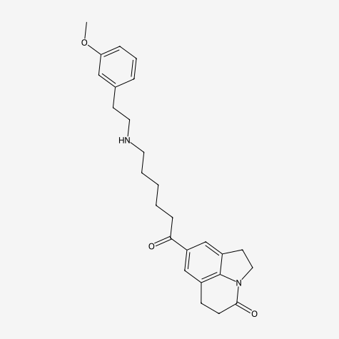 COc1cccc(CCNCCCCCC(=O)c2cc3c4c(c2)CCN4C(=O)CC3)c1